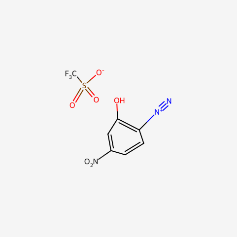 N#[N+]c1ccc([N+](=O)[O-])cc1O.O=S(=O)([O-])C(F)(F)F